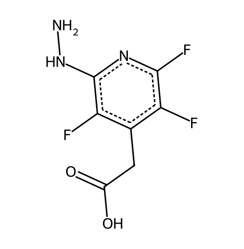 NNc1nc(F)c(F)c(CC(=O)O)c1F